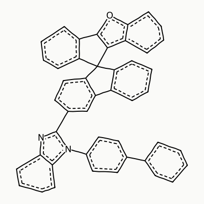 c1ccc(-c2ccc(-n3c(-c4ccc5c(c4)-c4ccccc4C54c5ccccc5-c5oc6ccccc6c54)nc4ccccc43)cc2)cc1